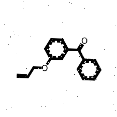 C=CCOc1cccc(C(=O)c2ccccc2)c1